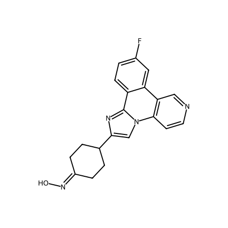 ON=C1CCC(c2cn3c4ccncc4c4cc(F)ccc4c3n2)CC1